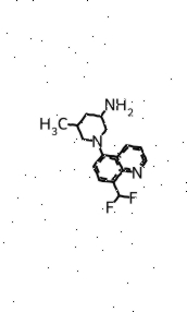 CC1CC(N)CN(c2ccc(C(F)F)c3ncccc23)C1